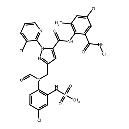 CNC(=O)c1cc(Cl)cc(C)c1NC(=O)c1cc(CN(C=O)c2ccc(Cl)cc2NS(C)(=O)=O)nn1-c1ncccc1Cl